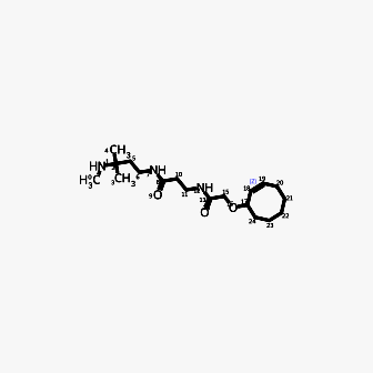 CNC(C)(C)CCNC(=O)CCNC(=O)COC1/C=C\CCCCC1